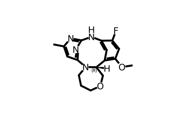 COc1cc(F)c2cc1[C@@H]1COCCCN1c1cc(C)nc(n1)N2